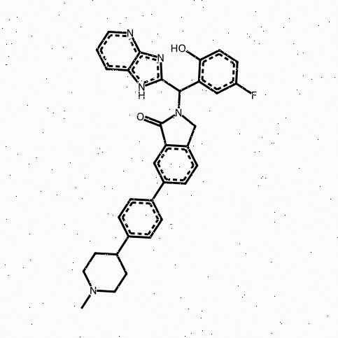 CN1CCC(c2ccc(-c3ccc4c(c3)C(=O)N(C(c3nc5ncccc5[nH]3)c3cc(F)ccc3O)C4)cc2)CC1